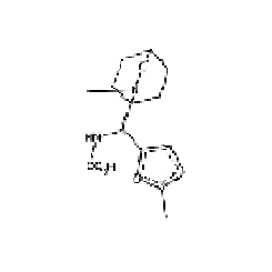 Cc1ccc(C(NC(=O)O)C23CCC(CC2)CN3C)o1